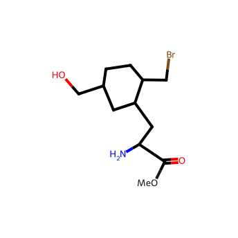 COC(=O)C(N)CC1CC(CO)CCC1CBr